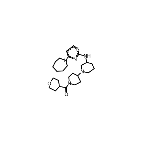 O=C(C1CCOCC1)N1CCC(N2CCCC(Nc3nccc(N4CCCCCC4)n3)C2)CC1